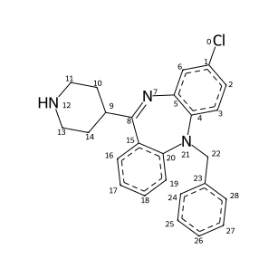 Clc1ccc2c(c1)N=C(C1CCNCC1)c1ccccc1N2Cc1ccccc1